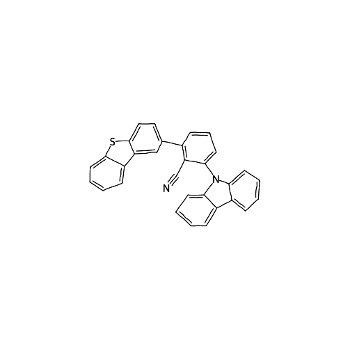 N#Cc1c(-c2ccc3sc4ccccc4c3c2)cccc1-n1c2ccccc2c2ccccc21